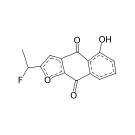 CC(F)c1cc2c(o1)C(=O)c1cccc(O)c1C2=O